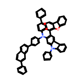 c1ccc(-c2ccc(N(c3ccc(-c4ccc5ccc(-c6ccccc6)cc5c4)cc3)c3cc4c(cc3-c3cccc5c3oc3ccccc35)c3ccccc3n4-c3ccccc3)cc2)cc1